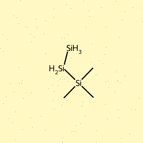 C[Si](C)(C)[SiH2][SiH3]